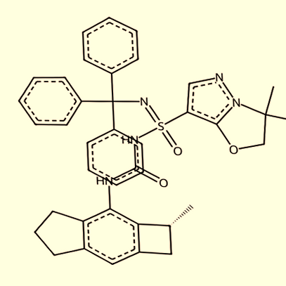 C[C@@H]1Cc2cc3c(c(NC(=O)NS(=O)(=NC(c4ccccc4)(c4ccccc4)c4ccccc4)c4cnn5c4OCC5(C)C)c21)CCC3